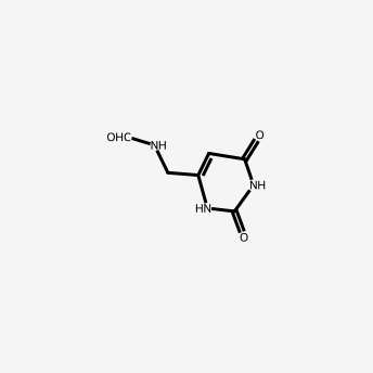 O=CNCc1cc(=O)[nH]c(=O)[nH]1